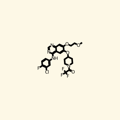 COCCOc1cc2ncnc(Nc3ccc(F)c(Cl)c3)c2cc1OC1CCN(C(=O)C(F)(F)F)CC1